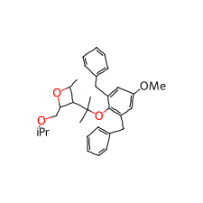 COc1cc(Cc2ccccc2)c(OC(C)(C)C2C(C)OC2COC(C)C)c(Cc2ccccc2)c1